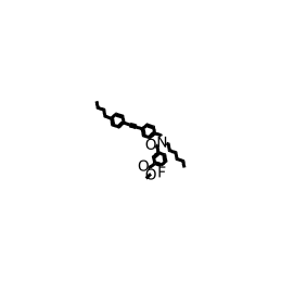 CCCCCCN(Cc1ccc(C#Cc2ccc(CCCC)cc2)cc1)C(=O)c1ccc(F)c(C(=O)OC)c1